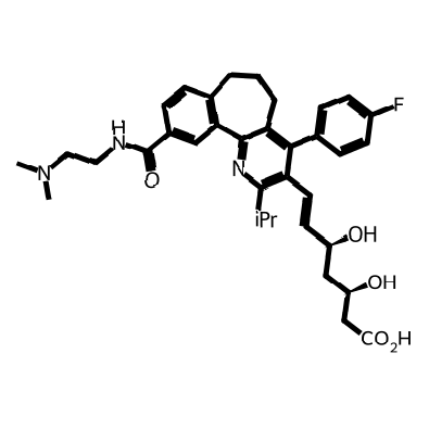 CC(C)c1nc2c(c(-c3ccc(F)cc3)c1/C=C/[C@@H](O)C[C@@H](O)CC(=O)O)CCCc1ccc(C(=O)NCCN(C)C)cc1-2